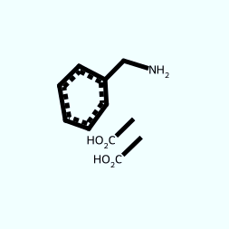 CC(=O)O.CC(=O)O.NCc1ccccc1